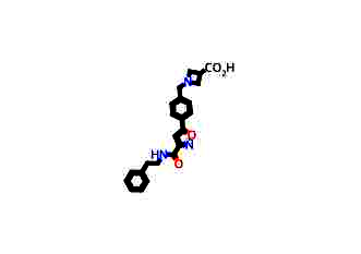 O=C(NCCc1ccccc1)c1cc(-c2ccc(CN3CC(C(=O)O)C3)cc2)on1